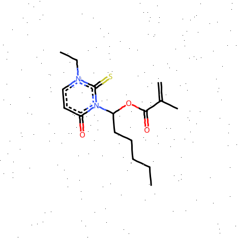 C=C(C)C(=O)OC(CCCCC)n1c(=O)ccn(CC)c1=S